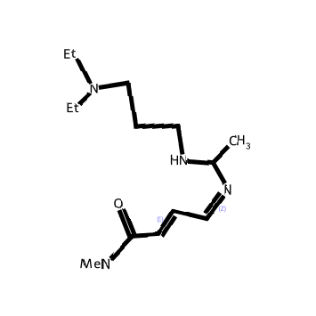 CCN(CC)CCCNC(C)/N=C\C=C\C(=O)NC